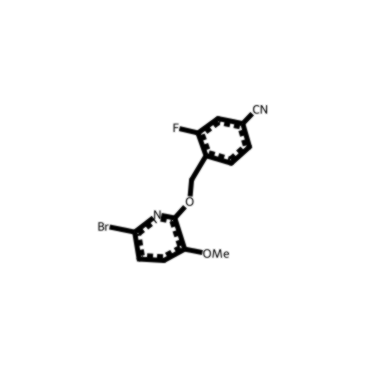 COc1ccc(Br)nc1OCc1ccc(C#N)cc1F